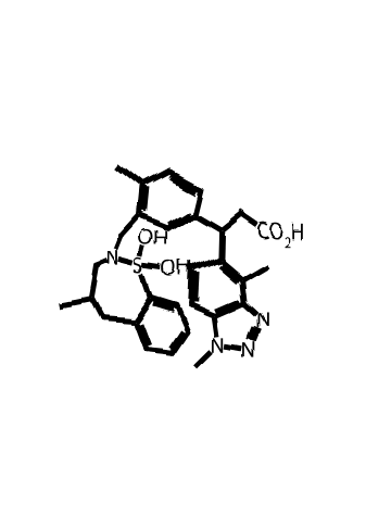 Cc1ccc(C(CC(=O)O)c2ccc3c(nnn3C)c2C)cc1CN1CC(C)Cc2ccccc2S1(O)O